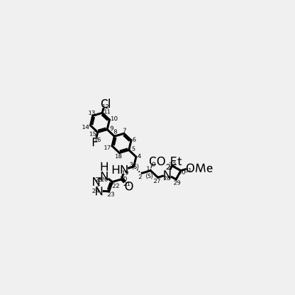 CCOC(=O)[C@@H](C[C@@H](Cc1ccc(-c2cc(Cl)ccc2F)cc1)NC(=O)c1cnn[nH]1)CN1CC(OC)C1